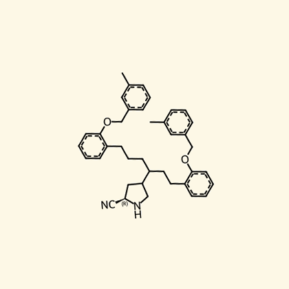 Cc1cccc(COc2ccccc2CCCC(CCc2ccccc2OCc2cccc(C)c2)C2CN[C@@H](C#N)C2)c1